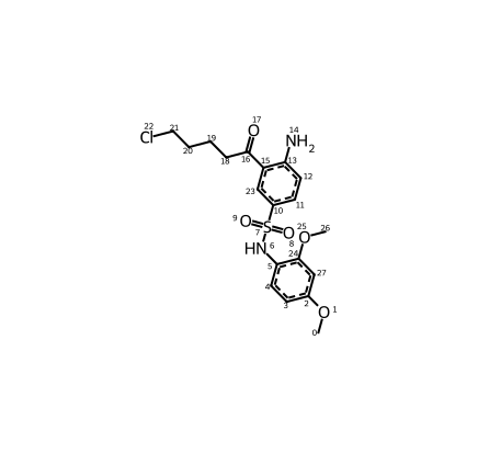 COc1ccc(NS(=O)(=O)c2ccc(N)c(C(=O)CCCCCl)c2)c(OC)c1